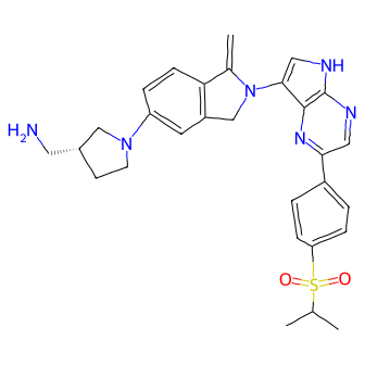 C=C1c2ccc(N3CC[C@H](CN)C3)cc2CN1c1c[nH]c2ncc(-c3ccc(S(=O)(=O)C(C)C)cc3)nc12